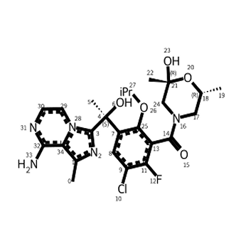 Cc1nc([C@@](C)(O)c2cc(Cl)c(F)c(C(=O)N3C[C@@H](C)O[C@@](C)(O)C3)c2OC(C)C)n2ccnc(N)c12